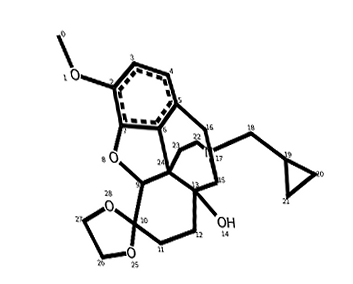 COc1ccc2c3c1OC1C4(CCC5(O)C(C2)N(CC2CC2)CCC315)OCCO4